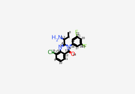 CCC(N)c1nc2c(Cl)cccc2c(=O)n1-c1cc(F)cc(F)c1